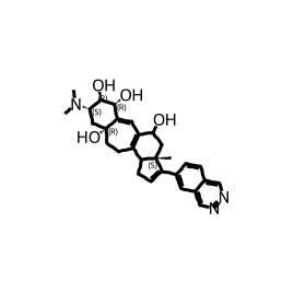 CN(C)[C@H]1C[C@]2(O)CCC3=C(C=C2[C@@H](O)[C@@H]1O)C(O)C[C@]1(C)C(c2ccc4cnncc4c2)=CCC31